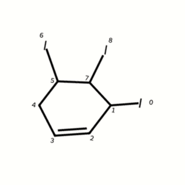 IC1C=CCC(I)C1I